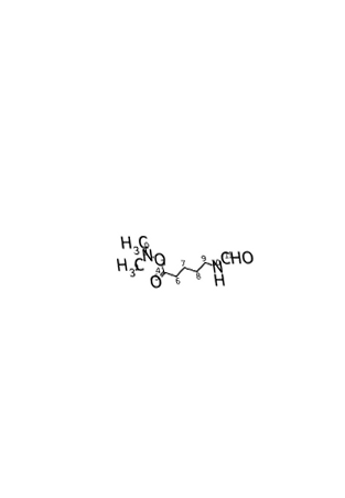 CN(C)OC(=O)CCCCNC=O